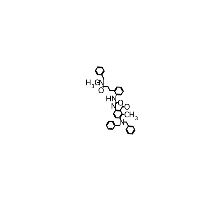 Cc1c(N(Cc2ccccc2)Cc2ccccc2)ccc2nc(Nc3ccccc3CCC(=O)N(C)Cc3ccccc3)oc(=O)c12